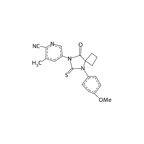 COc1ccc(N2C(=S)N(c3cnc(C#N)c(C)c3)C(=O)C23CCC3)cc1